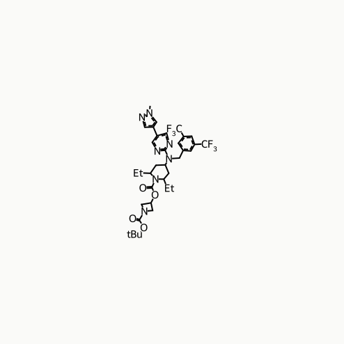 CCC1CC(N(Cc2cc(C(F)(F)F)cc(C(F)(F)F)c2)c2ncc(-c3cnn(C)c3)cn2)CC(CC)N1C(=O)OC1CN(C(=O)OC(C)(C)C)C1